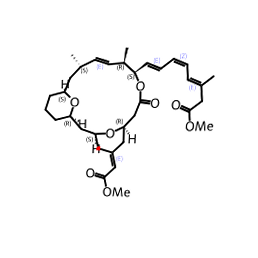 COC(=O)/C=C1/C[C@@H]2CC(=O)O[C@H](/C=C/C=C\C=C(/C)CC(=O)OC)[C@H](C)/C=C/[C@@H](C)C[C@@H]3CCC[C@H](C[C@H](C1)O2)O3